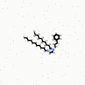 CCCCCCCCCCCn1cc[n+](CCCc2ccccc2)c1CCCCCCCCC